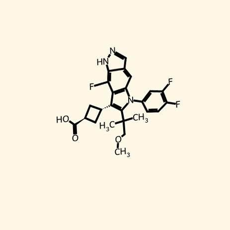 COCC(C)(C)c1c([C@H]2C[C@H](C(=O)O)C2)c2c(F)c3[nH]ncc3cc2n1-c1ccc(F)c(F)c1